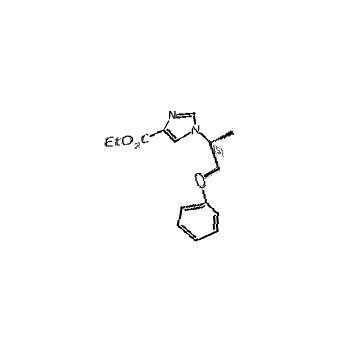 CCOC(=O)c1cn([C@@H](C)COc2ccccc2)cn1